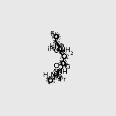 CC(C)OC(C(=O)NCCc1c(Cl)cc(C2CCCC(C[C@@H](N)C(OC(C)C)C(=O)NCCc3cccc(F)c3)C2)cc1Cl)[C@H](N)CC1CCCCC1